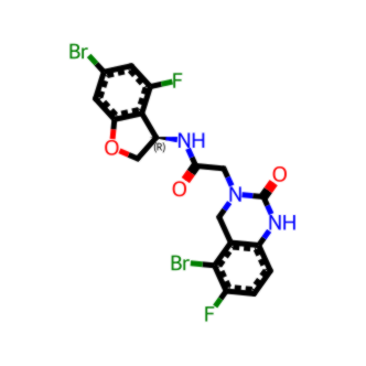 O=C(CN1Cc2c(ccc(F)c2Br)NC1=O)N[C@H]1COc2cc(Br)cc(F)c21